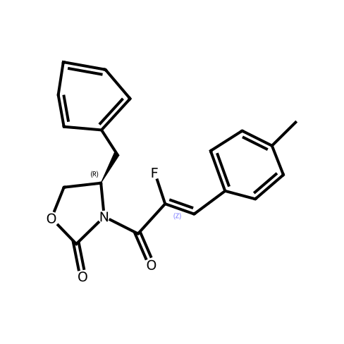 Cc1ccc(/C=C(\F)C(=O)N2C(=O)OC[C@H]2Cc2ccccc2)cc1